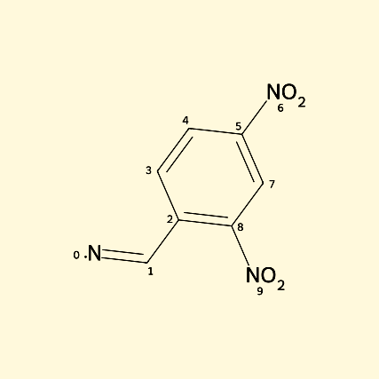 [N]=Cc1ccc([N+](=O)[O-])cc1[N+](=O)[O-]